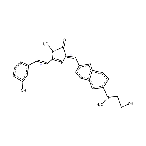 CN1C(=O)/C(=C/c2ccc3cc(N(C)CCO)ccc3c2)N=C1/C=C/c1cccc(O)c1